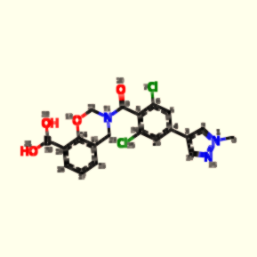 Cn1cc(-c2cc(Cl)c(C(=O)N3COc4c(cccc4B(O)O)C3)c(Cl)c2)cn1